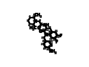 CC1CCCC(C)N1CC(=O)N[C@@H](Cc1ccc(F)c(F)c1)C(=O)NCc1ccc(N)nc1